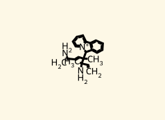 C=CC(C)(N)C(C)(/C=C/C(=C)N)C1c2ccccc2-c2cccc[n+]21